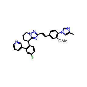 COc1cc(C=Cc2nc3n(n2)CCCC3c2ccc(F)cc2-c2cccnc2)ccc1-n1cnc(C)c1